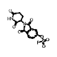 O=C1CCC(N2C(=O)c3ccc(OS(=O)(=O)F)cc3C2=O)C(=O)N1